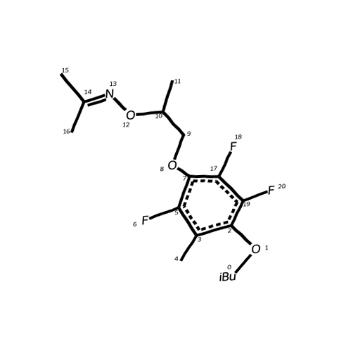 CCC(C)Oc1c(C)c(F)c(OCC(C)ON=C(C)C)c(F)c1F